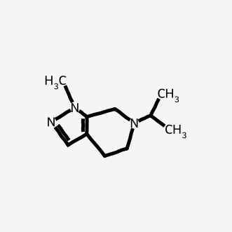 CC(C)N1CCc2cnn(C)c2C1